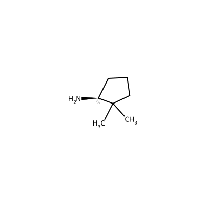 CC1(C)CCC[C@@H]1N